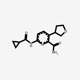 NC(=O)c1nc(NC(=O)C2CC2)ccc1C1CCOC1